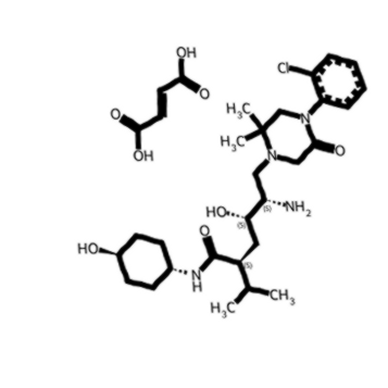 CC(C)[C@H](C[C@H](O)[C@@H](N)CN1CC(=O)N(c2ccccc2Cl)CC1(C)C)C(=O)N[C@H]1CC[C@H](O)CC1.O=C(O)C=CC(=O)O